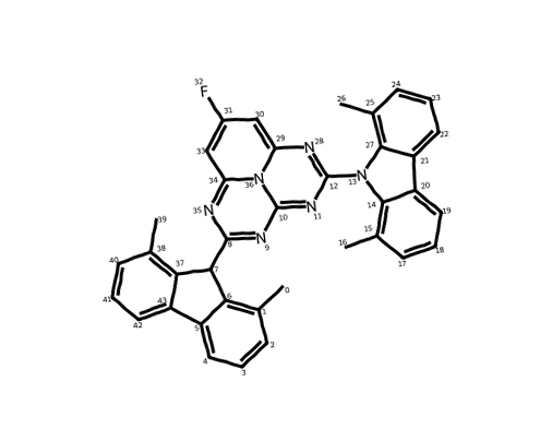 Cc1cccc2c1C(C1=NC3=NC(n4c5c(C)cccc5c5cccc(C)c54)=NC4=CC(F)=CC(=N1)N43)c1c(C)cccc1-2